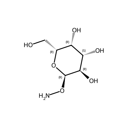 NO[C@H]1O[C@H](CO)[C@H](O)[C@H](O)[C@H]1O